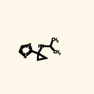 CC(C)NC1(c2nccs2)CC1